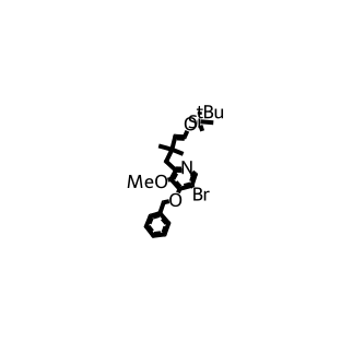 COc1c(CC(C)(C)C=CO[Si](C)(C)C(C)(C)C)ncc(Br)c1OCc1ccccc1